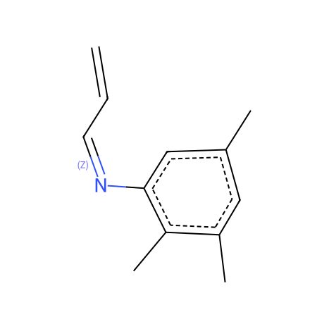 C=C/C=N\c1cc(C)cc(C)c1C